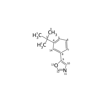 CC(C)(C)c1cccc(-c2cnco2)c1